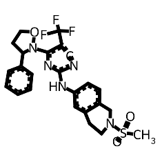 CS(=O)(=O)N1CCc2cc(Nc3ncc(C(F)(F)F)c(N4OCCC4c4ccccc4)n3)ccc2C1